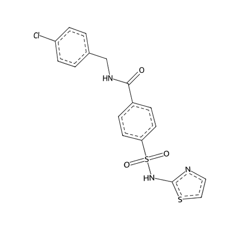 O=C(NCc1ccc(Cl)cc1)c1ccc(S(=O)(=O)Nc2nccs2)cc1